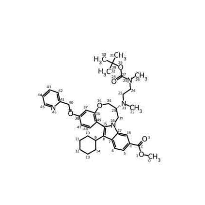 COC(=O)c1ccc2c(C3CCCCC3)c3n(c2c1)C[C@@H](N(C)CCN(C)C(=O)OC(C)(C)C)COc1cc(OCc2ccccn2)ccc1-3